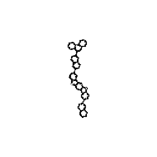 c1ccc2cc(-c3ccc4oc5cc6c(cc5c4c3)oc3ccc(-c4ccc5cc(-c7cc8ccccc8c8ccccc78)ccc5c4)cc36)ccc2c1